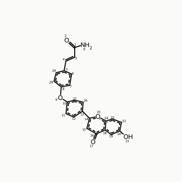 NC(=O)C=Cc1ccc(Oc2ccc(-c3cc(=O)c4cc(O)ccc4o3)cc2)cc1